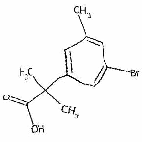 Cc1cc(Br)cc(C(C)(C)C(=O)O)c1